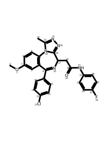 COc1ccc2c(c1)C(c1ccc(Cl)cc1)=NC(CC(=O)Nc1ccc(F)cc1)c1nnc(C)n1-2